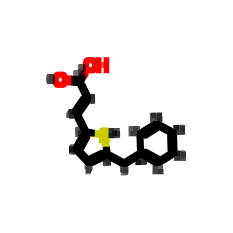 O=C(O)C=Cc1ccc(Cc2ccccc2)s1